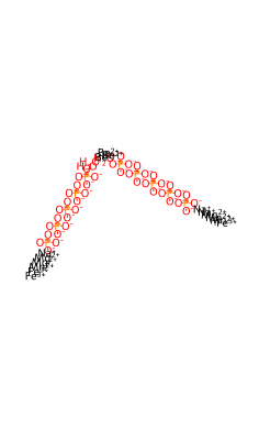 O.O.O.O=P([O-])([O-])[O-].O=P([O-])([O-])[O-].O=P([O-])([O-])[O-].O=P([O-])([O-])[O-].O=P([O-])([O-])[O-].O=P([O-])([O-])[O-].O=P([O-])([O-])[O-].O=P([O-])([O-])[O-].O=P([O-])([O-])[O-].O=P([O-])([O-])[O-].[Be+2].[Be+2].[Be+2].[Fe+3].[Fe+3].[Fe+3].[Mg+2].[Mg+2].[Mg+2].[Mn+2].[Mn+2].[Mn+2].[Na+].[Na+].[Na+]